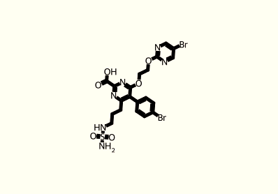 NS(=O)(=O)NCCCc1nc(C(=O)O)nc(OCCOc2ncc(Br)cn2)c1-c1ccc(Br)cc1